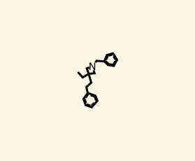 CCC1(CCc2ccccc2)CN(Cc2ccccc2)C1